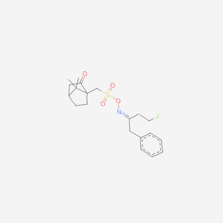 CC1(C)C2CCC1(CS(=O)(=O)ON=C(CCF)Cc1ccccc1)C(=O)C2